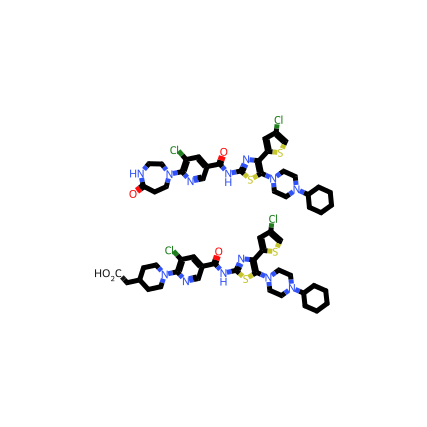 O=C(O)CC1CCN(c2ncc(C(=O)Nc3nc(-c4cc(Cl)cs4)c(N4CCN(C5CCCCC5)CC4)s3)cc2Cl)CC1.O=C1CCN(c2ncc(C(=O)Nc3nc(-c4cc(Cl)cs4)c(N4CCN(C5CCCCC5)CC4)s3)cc2Cl)CCN1